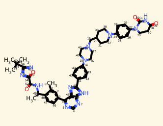 Cc1cc(-c2ncnc3[nH]c(-c4ccc(N5CCN(CC6CCN(c7ccc(N8CCC(=O)NC8=O)cc7)CC6)CC5)cc4)nc23)ccc1[C@@H](C)NC(=O)c1nc(C(C)(C)C)no1